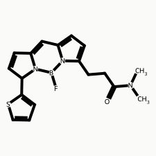 CN(C)C(=O)CCc1ccc2n1B(F)N1C(=C2)C=CC1c1cccs1